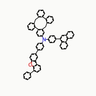 c1ccc(-c2cccc3c2oc2ccc(-c4ccc(N(c5ccc(-c6cc7ccccc7c7ccccc67)cc5)c5ccc6c(c5)Cc5ccccc5-c5ccccc5Cc5ccccc5-6)cc4)cc23)cc1